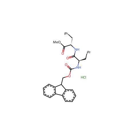 COC(=O)[C@H](CC(C)C)NC(=O)[C@@H](CC(C)C)NC(=O)OCC1c2ccccc2-c2ccccc21.Cl